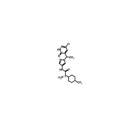 CC1CCC([C@H](N)C(=O)Nc2cnn(C(C)c3cc(Cl)n[nH]c3=O)c2)CC1